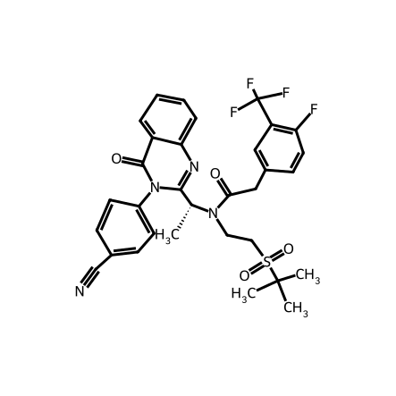 C[C@H](c1nc2ccccc2c(=O)n1-c1ccc(C#N)cc1)N(CCS(=O)(=O)C(C)(C)C)C(=O)Cc1ccc(F)c(C(F)(F)F)c1